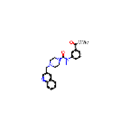 COC(=O)c1cccc(NC(=O)N2CCN(Cc3cnc4ccccc4c3)CC2)c1